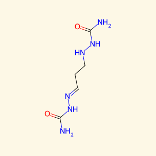 NC(=O)NN=CCCNNC(N)=O